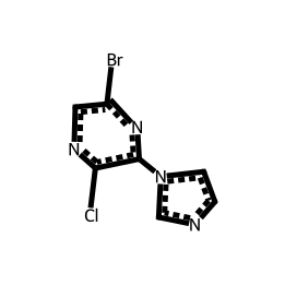 Clc1ncc(Br)nc1-n1ccnc1